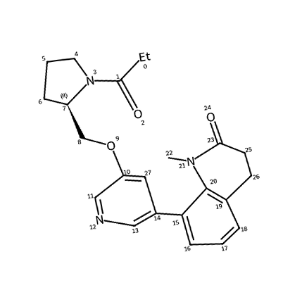 CCC(=O)N1CCC[C@@H]1COc1cncc(-c2cccc3c2N(C)C(=O)CC3)c1